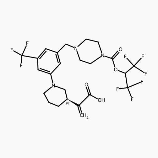 C=C(C(=O)O)[C@H]1CCCN(c2cc(CN3CCN(C(=O)OC(C(F)(F)F)C(F)(F)F)CC3)cc(C(F)(F)F)c2)C1